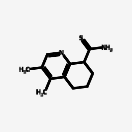 Cc1cnc2c(c1C)CCCC2C(N)=S